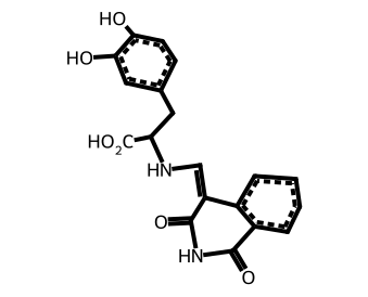 O=C1NC(=O)c2ccccc2/C1=C/NC(Cc1ccc(O)c(O)c1)C(=O)O